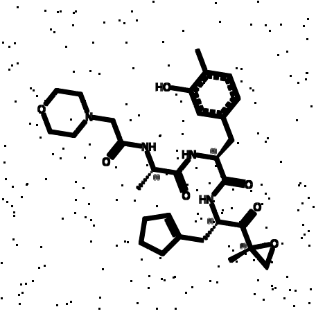 Cc1ccc(C[C@H](NC(=O)[C@H](C)NC(=O)CN2CCOCC2)C(=O)N[C@@H](CC2=CCCC2)C(=O)[C@@]2(C)CO2)cc1O